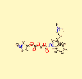 CN(C)CCc1cn(C(=O)OCOC(=O)OC2CCN(C)C2)c2ccccc12